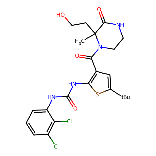 CC(C)(C)c1cc(C(=O)N2CCNC(=O)C2(C)CCO)c(NC(=O)Nc2cccc(Cl)c2Cl)s1